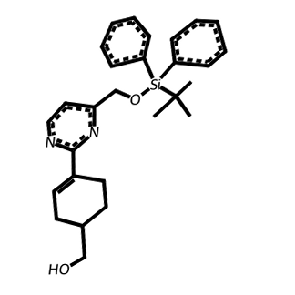 CC(C)(C)[Si](OCc1ccnc(C2=CCC(CO)CC2)n1)(c1ccccc1)c1ccccc1